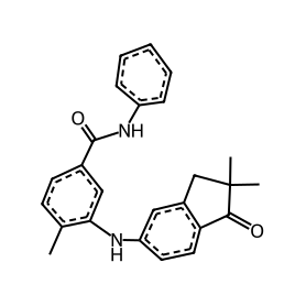 Cc1ccc(C(=O)Nc2ccccc2)cc1Nc1ccc2c(c1)CC(C)(C)C2=O